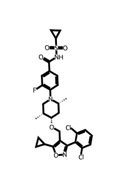 C[C@@H]1CN(c2ccc(C(=O)NS(=O)(=O)C3CC3)cc2F)[C@H](C)C[C@@H]1OCc1c(-c2c(Cl)cccc2Cl)noc1C1CC1